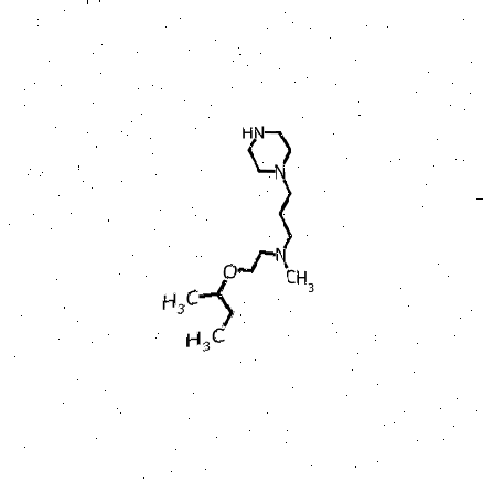 CCC(C)OCCN(C)CCCN1CCNCC1